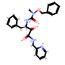 CN(OCc1ccccc1)C(=O)N[C@H](Cc1ccccc1)C(=O)C(=O)NCc1ccccn1